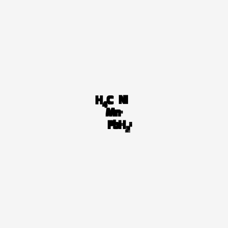 C.[Mn].[Ni].[PbH2]